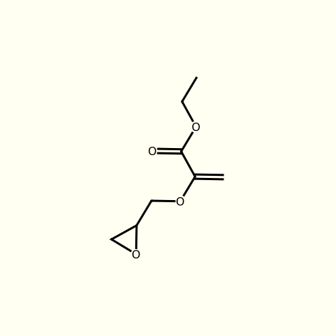 C=C(OCC1CO1)C(=O)OCC